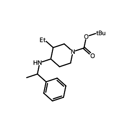 CCC1CN(C(=O)OC(C)(C)C)CCC1NC(C)c1ccccc1